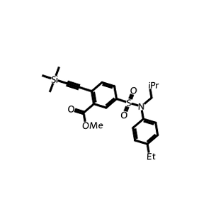 CCc1ccc(N(CC(C)C)S(=O)(=O)c2ccc(C#C[Si](C)(C)C)c(C(=O)OC)c2)cc1